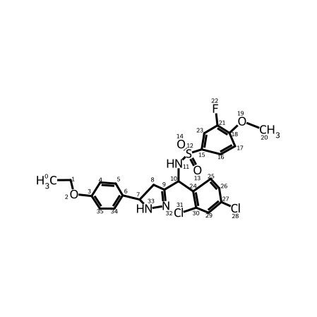 CCOc1ccc(C2CC(C(NS(=O)(=O)c3ccc(OC)c(F)c3)c3ccc(Cl)cc3Cl)=NN2)cc1